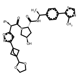 Cc1ncsc1-c1ccc([C@H](C)NC(=O)[C@@H]2C[C@@H](O)CN2C(=O)[C@@H](c2cc(C34CC(C5OCCO5)(C3)C4)no2)C(C)C)cc1